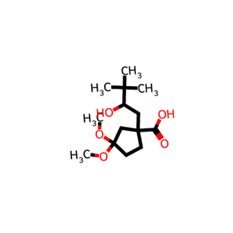 COC1(OC)CCC(CC(O)C(C)(C)C)(C(=O)O)C1